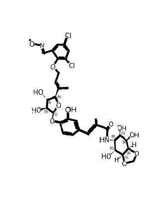 CON=Cc1cc(Cl)cc(Cl)c1OCC=C(C)[C@H]1O[C@@H](Oc2ccc(C=C(C)C(=O)N[C@@H]3[C@H](O)[C@@H](O)[C@H]4OCO[C@H]4[C@@H]3O)cc2O)[C@@H](O)[C@@H]1O